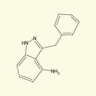 Nc1cccc2[nH]nc(Cc3ccccc3)c12